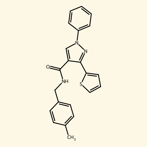 Cc1ccc(CNC(=O)c2cn(-c3ccccc3)nc2-c2cccs2)cc1